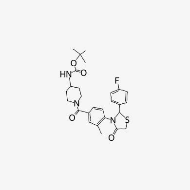 Cc1cc(C(=O)N2CCC(NC(=O)OC(C)(C)C)CC2)ccc1N1C(=O)CSC1c1ccc(F)cc1